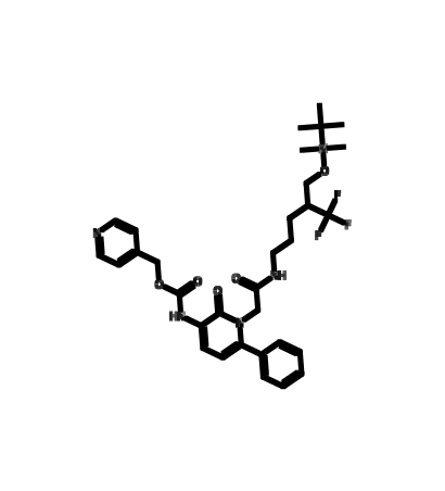 CC(C)(C)[Si](C)(C)OCC(CCCNC(=O)Cn1c(-c2ccccc2)ccc(NC(=O)OCc2ccncc2)c1=O)C(F)(F)F